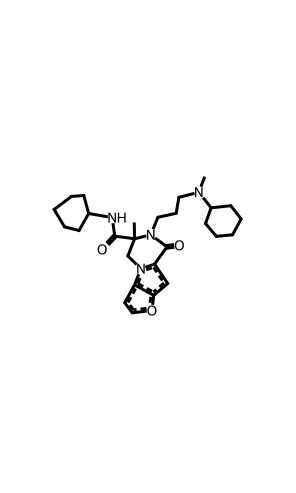 CN(CCCN1C(=O)c2cc3occc3n2CC1(C)C(=O)NC1CCCCC1)C1CCCCC1